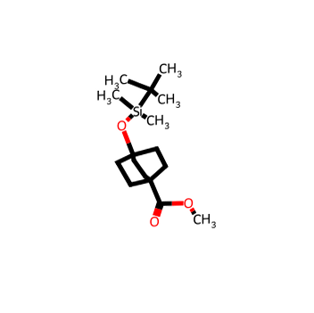 COC(=O)C12CCC(O[Si](C)(C)C(C)(C)C)(CC1)CC2